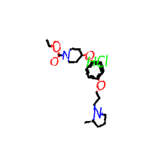 CCOC(=O)N1CCC(Oc2ccc(OCCCN3CCC[C@H]3C)cc2)CC1.Cl